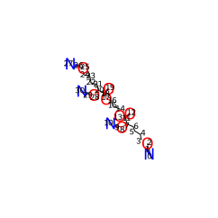 N#COCCCCC(OC#N)C(=O)OCCCOC(=O)C(CCCCOC#N)OC#N